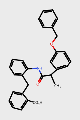 CC(C(=O)Nc1ccccc1Cc1ccccc1C(=O)O)c1cccc(OCc2ccccc2)c1